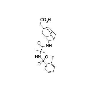 CC(C)(NS(=O)(=O)c1ccccc1F)C(=O)NC1C2CC3CC1CC(CC(=O)O)(C3)C2